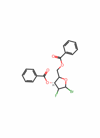 O=C(OCC1OC(Br)C(F)[C@@H]1OC(=O)c1ccccc1)c1ccccc1